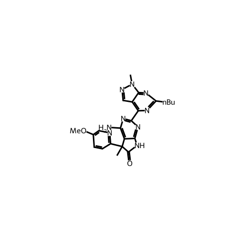 CCCCc1nc(-c2nc(N)c3c(n2)NC(=O)C3(C)c2ccc(OC)cn2)c2cnn(C)c2n1